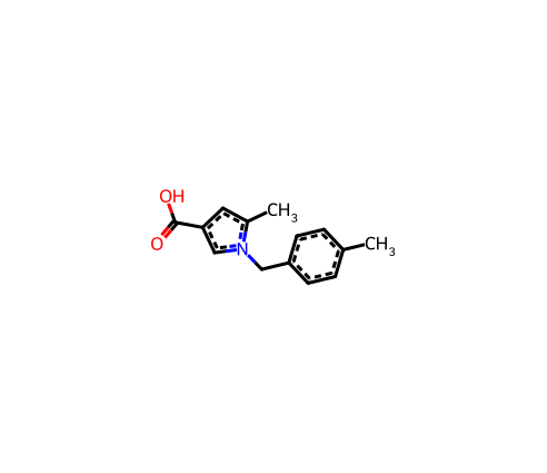 Cc1ccc(Cn2cc(C(=O)O)cc2C)cc1